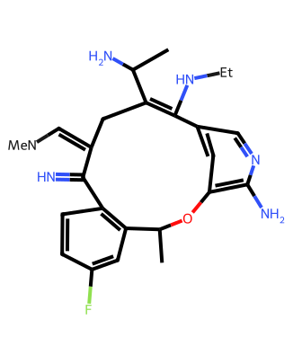 CCN/C1=C(\C(C)N)C/C(=C/NC)C(=N)c2ccc(F)cc2C(C)Oc2cc1cnc2N